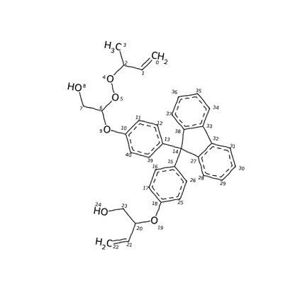 C=CC(C)OOC(CO)Oc1ccc(C2(c3ccc(OC(C=C)CO)cc3)c3ccccc3-c3ccccc32)cc1